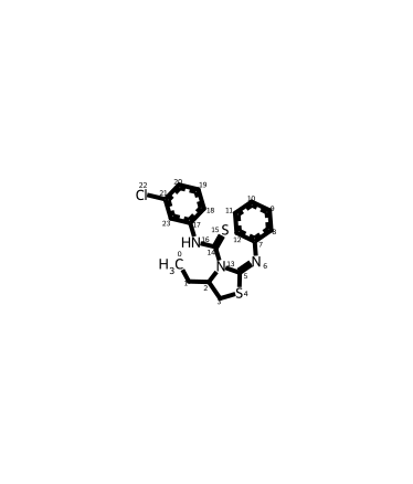 CCC1CS/C(=N/c2ccccc2)N1C(=S)Nc1cccc(Cl)c1